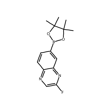 CC1(C)OB(c2ccc3ncc(F)nc3c2)OC1(C)C